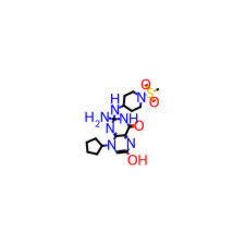 CS(=O)(=O)N1CCC(NC2(N)N=C3C(=NC(O)=CN3C3CCCC3)C(=O)N2)CC1